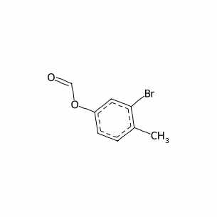 Cc1ccc(OC=O)cc1Br